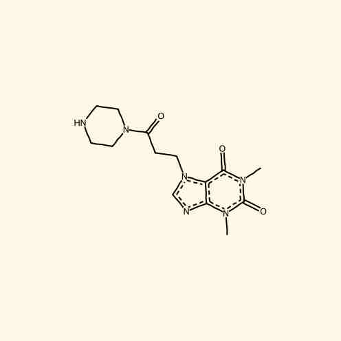 Cn1c(=O)c2c(ncn2CCC(=O)N2CCNCC2)n(C)c1=O